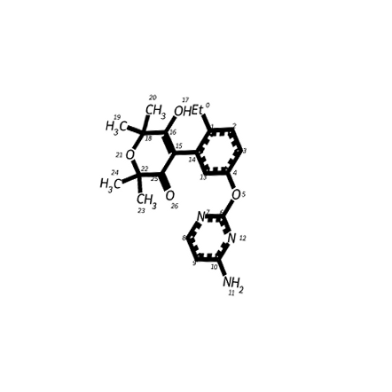 CCc1ccc(Oc2nccc(N)n2)cc1C1=C(O)C(C)(C)OC(C)(C)C1=O